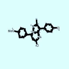 COc1ccc(-c2cc(Cl)nc3c(-c4ccc(Cl)cc4)c(C)nn23)cc1